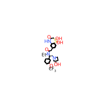 CCN(C(=O)Cc1ccc2c(c1)NC(=O)CS2(O)O)[C@H](CN1CC[C@H](O)C1)c1cccc(OC(F)(F)F)c1